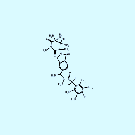 Bc1c(B)c(C(F)(F)C(=O)N(B)C(B)c2ccc3c(c2)CN(C2(B)C(=O)N(B)C(=O)C(B)(B)C2(B)B)C3=O)c(B)c(B)c1Cl